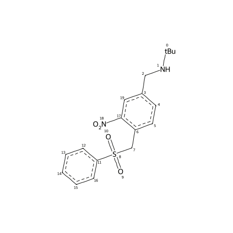 CC(C)(C)NCc1ccc(CS(=O)(=O)c2ccccc2)c([N+](=O)[O-])c1